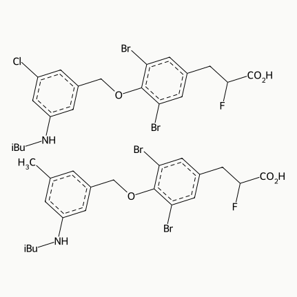 CCC(C)Nc1cc(C)cc(COc2c(Br)cc(CC(F)C(=O)O)cc2Br)c1.CCC(C)Nc1cc(Cl)cc(COc2c(Br)cc(CC(F)C(=O)O)cc2Br)c1